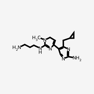 CN1CC=C(c2cnc(N)nc2CC2CC2)N=C1NCCCN